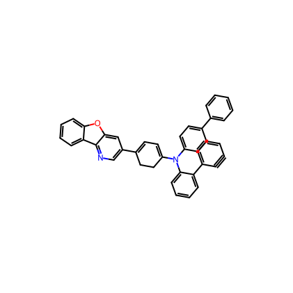 c1cccc(-c2ccccc2N(C2=CC=C(c3cnc4c(c3)oc3ccccc34)CC2)c2ccc(-c3ccccc3)cc2)c#1